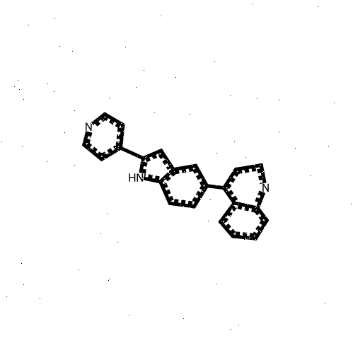 c1ccc2c(-c3ccc4[nH]c(-c5ccncc5)cc4c3)ccnc2c1